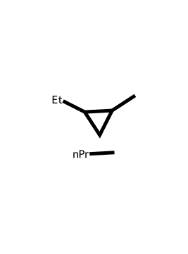 CCC1CC1C.CCCC